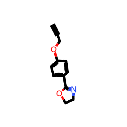 C#CCOc1ccc(C2=NCCO2)cc1